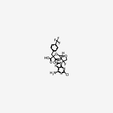 Nc1nc(Cl)nc2c1ncn2C1(F)CO[C@@H]2C(OC(Cc3ccc(C(F)(F)F)cc3)(C(=O)O)C(=O)O)[C@@]21O